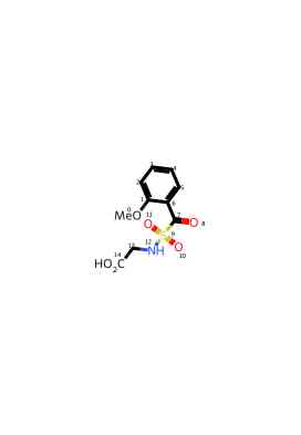 COc1ccccc1C(=O)S(=O)(=O)NCC(=O)O